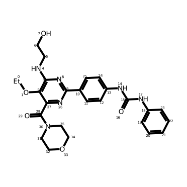 CCOc1c(NCCO)nc(-c2ccc(NC(=O)Nc3ccccc3)cc2)nc1C(=O)N1CCOCC1